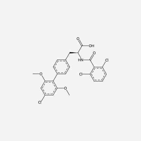 COc1cc(Cl)cc(OC)c1-c1ccc(C[C@H](NC(=O)c2c(Cl)cccc2Cl)C(=O)O)cc1